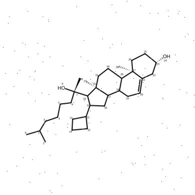 CC(C)CCCC[C@](C)(O)C1C(C2CCC2)CC2C3CC=C4C[C@@H](O)CC[C@]4(C)C3CC[C@@]21C